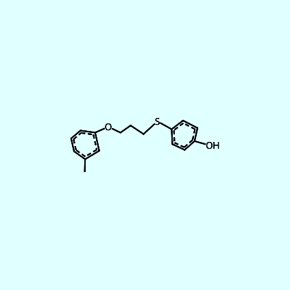 Cc1cccc(OCCCSc2ccc(O)cc2)c1